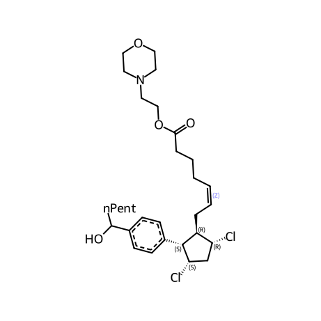 CCCCCC(O)c1ccc([C@@H]2[C@@H](C/C=C\CCCC(=O)OCCN3CCOCC3)[C@H](Cl)C[C@@H]2Cl)cc1